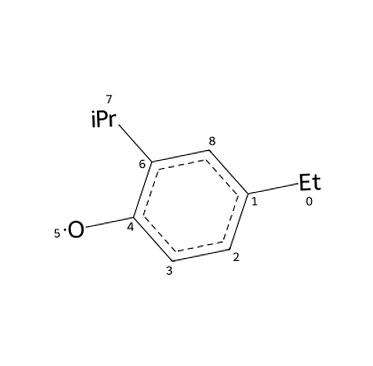 CCc1ccc([O])c(C(C)C)c1